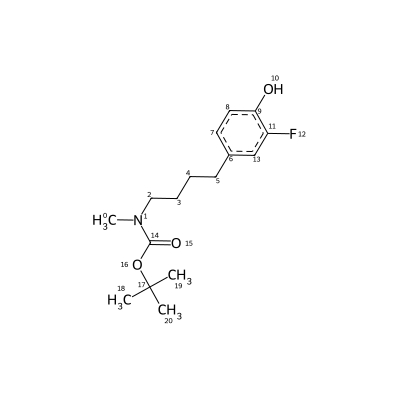 CN(CCCCc1ccc(O)c(F)c1)C(=O)OC(C)(C)C